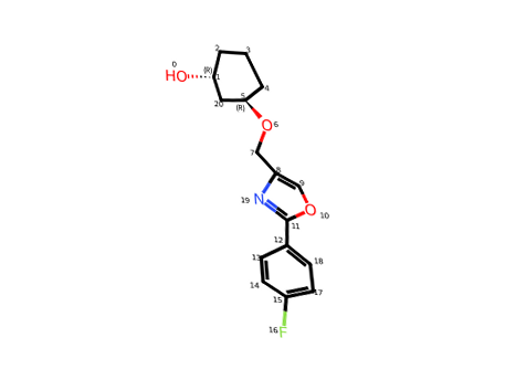 O[C@@H]1CCC[C@@H](OCc2coc(-c3ccc(F)cc3)n2)C1